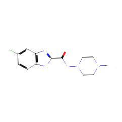 CN1CCN(NC(=O)c2nc3cc(Cl)ccc3[nH]2)CC1